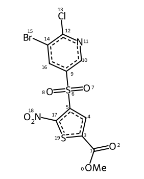 COC(=O)c1cc(S(=O)(=O)c2cnc(Cl)c(Br)c2)c([N+](=O)[O-])s1